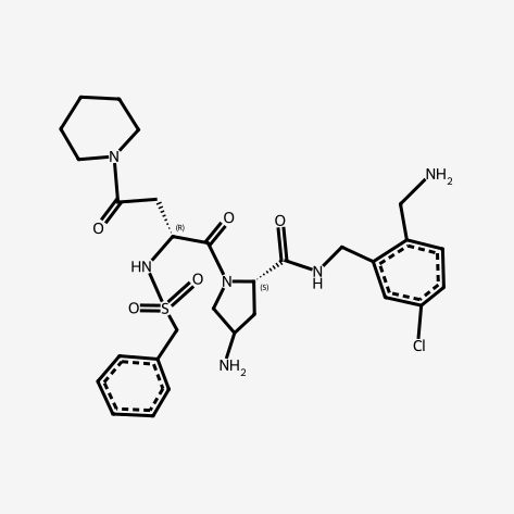 NCc1ccc(Cl)cc1CNC(=O)[C@@H]1CC(N)CN1C(=O)[C@@H](CC(=O)N1CCCCC1)NS(=O)(=O)Cc1ccccc1